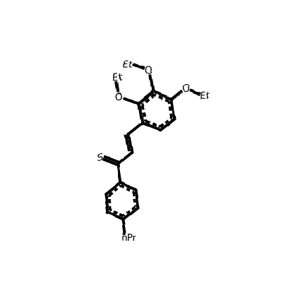 CCCc1ccc(C(=S)C=Cc2ccc(OCC)c(OCC)c2OCC)cc1